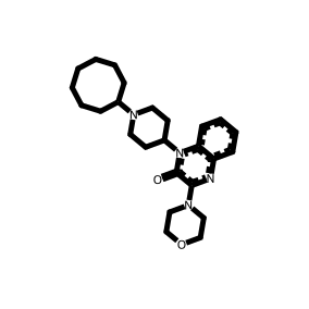 O=c1c(N2CCOCC2)nc2ccccc2n1C1CCN(C2CCCCCCC2)CC1